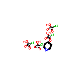 [O]=[Cr](=[O])([OH])[Cl].[O]=[Cr](=[O])([OH])[Cl].[O]=[Cr](=[O])([OH])[Cl].[O]=[Cr](=[O])([OH])[Cl].c1ccncc1